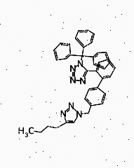 CCCCc1cn(Cc2ccc(-c3ccccc3-c3nnnn3C(c3ccccc3)(c3ccccc3)c3ccccc3)cc2)nn1